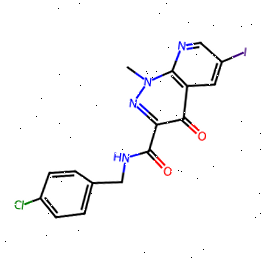 Cn1nc(C(=O)NCc2ccc(Cl)cc2)c(=O)c2cc(I)cnc21